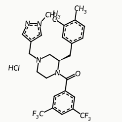 Cc1ccc(C[C@@H]2CN(Cc3cnn(C)c3)CCN2C(=O)c2cc(C(F)(F)F)cc(C(F)(F)F)c2)cc1C.Cl